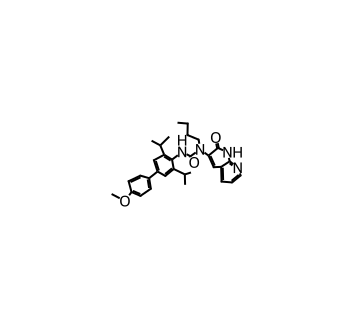 CCCCN(C(=O)Nc1c(C(C)C)cc(-c2ccc(OC)cc2)cc1C(C)C)c1cc2cccnc2[nH]c1=O